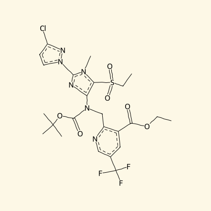 CCOC(=O)c1cc(C(F)(F)F)cnc1CN(C(=O)OC(C)(C)C)c1nc(-n2ccc(Cl)n2)n(C)c1S(=O)(=O)CC